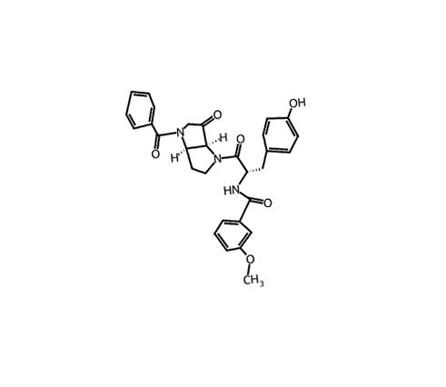 COc1cccc(C(=O)N[C@@H](Cc2ccc(O)cc2)C(=O)N2CC[C@@H]3[C@H]2C(=O)CN3C(=O)c2ccccc2)c1